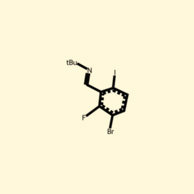 CC(C)(C)N=Cc1c(I)ccc(Br)c1F